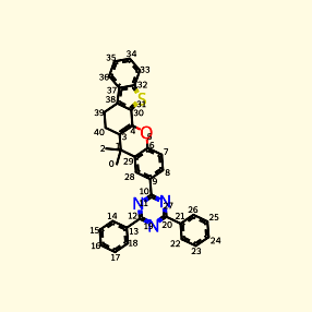 CC1(C)C2=C(Oc3ccc(-c4nc(-c5ccccc5)nc(-c5ccccc5)n4)cc31)c1sc3ccccc3c1CC2